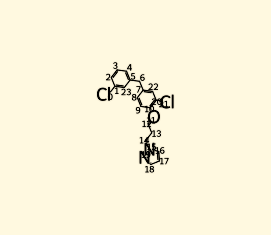 Clc1cccc(Cc2ccc(OCCCn3cccn3)c(Cl)c2)c1